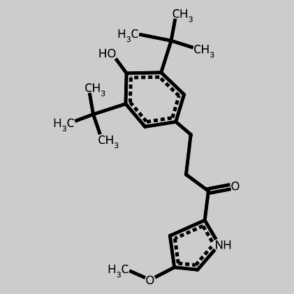 COc1c[nH]c(C(=O)CCc2cc(C(C)(C)C)c(O)c(C(C)(C)C)c2)c1